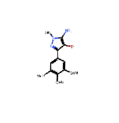 COc1cc(-c2nn(C(C)(C)C)c(N)c2Br)cc(OC)c1OC